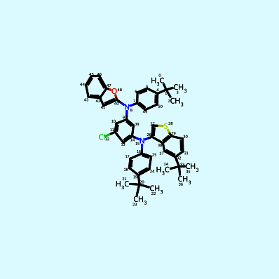 CC(C)(C)c1ccc(N(c2cc(Cl)cc(N(c3ccc(C(C)(C)C)cc3)c3csc4ccc(C(C)(C)C)cc34)c2)c2cc3ccccc3o2)cc1